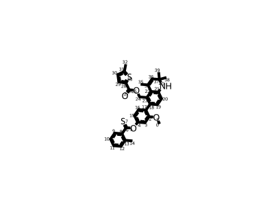 COc1cc(OC(=S)c2ccccc2C)ccc1-c1ccc2c(c1COC(=O)c1ccc(C)s1)C(C)=CC(C)(C)N2